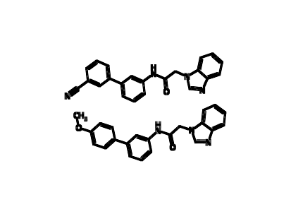 COc1ccc(-c2cccc(NC(=O)Cn3cnc4ccccc43)c2)cc1.N#Cc1cccc(-c2cccc(NC(=O)Cn3cnc4ccccc43)c2)c1